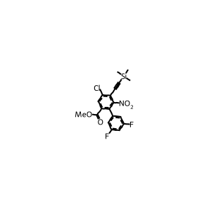 COC(=O)c1cc(Cl)c(C#C[Si](C)(C)C)c([N+](=O)[O-])c1-c1cc(F)cc(F)c1